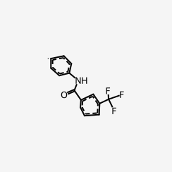 O=C(Nc1cc[c]cc1)c1cccc(C(F)(F)F)c1